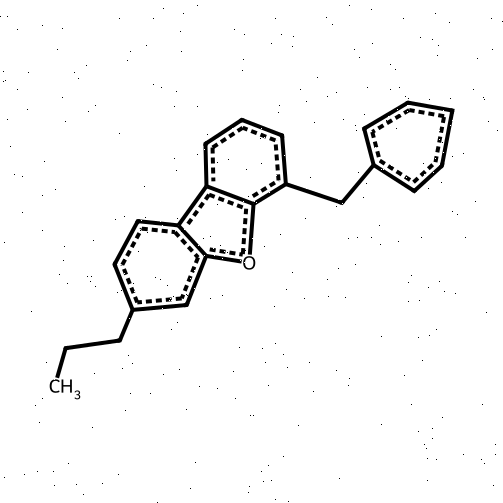 CCCc1ccc2c(c1)oc1c(Cc3ccccc3)cccc12